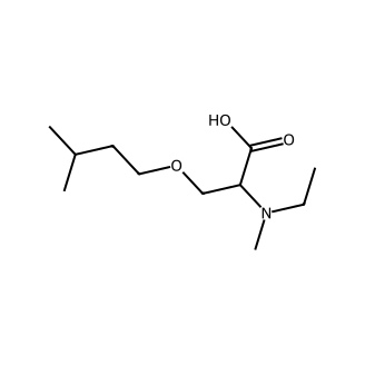 CCN(C)C(COCCC(C)C)C(=O)O